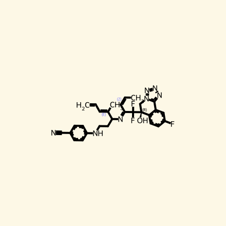 C=C/C=C(\C)C(CCNc1ccc(C#N)cc1)N=C(/C=C\C)C(F)(F)[C@]1(O)Cn2nnnc2-c2cc(F)ccc21